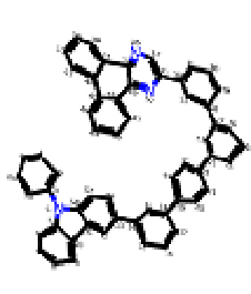 c1ccc(-n2c3ccccc3c3cc(-c4cccc(-c5ccc(-c6cccc(-c7cccc(-c8cnc9c%10ccccc%10c%10ccccc%10c9n8)c7)c6)cc5)c4)ccc32)cc1